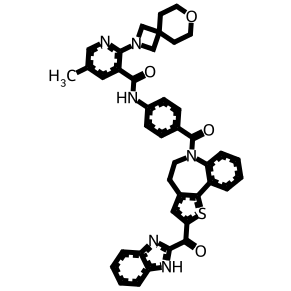 Cc1cnc(N2CC3(CCOCC3)C2)c(C(=O)Nc2ccc(C(=O)N3CCc4cc(C(=O)c5nc6ccccc6[nH]5)sc4-c4ccccc43)cc2)c1